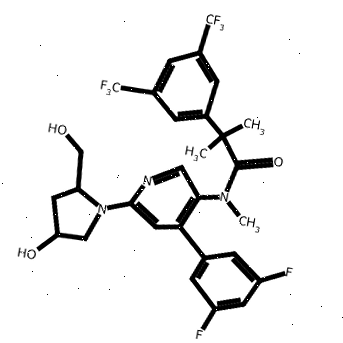 CN(C(=O)C(C)(C)c1cc(C(F)(F)F)cc(C(F)(F)F)c1)c1cnc(N2CC(O)CC2CO)cc1-c1cc(F)cc(F)c1